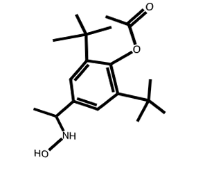 CC(=O)Oc1c(C(C)(C)C)cc(C(C)NO)cc1C(C)(C)C